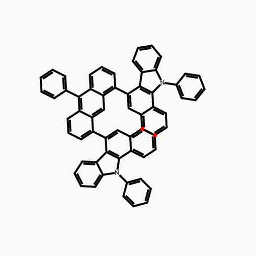 c1ccc(-c2c3cccc(-c4cc5ccccc5c5c4c4ccccc4n5-c4ccccc4)c3cc3c(-c4cc5ccccc5c5c4c4ccccc4n5-c4ccccc4)cccc23)cc1